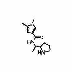 Cc1cc(C(=O)NC(C)C2CCCN2)cn1C